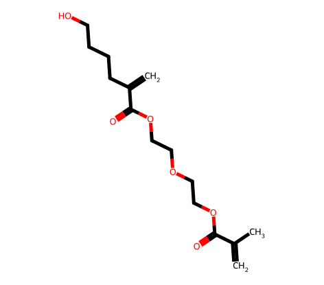 C=C(C)C(=O)OCCOCCOC(=O)C(=C)CCCCO